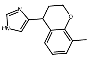 Cc1cccc2c1OCCC2c1c[nH]cn1